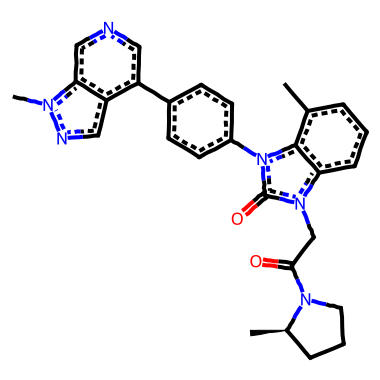 Cc1cccc2c1n(-c1ccc(-c3cncc4c3cnn4C)cc1)c(=O)n2CC(=O)N1CCC[C@H]1C